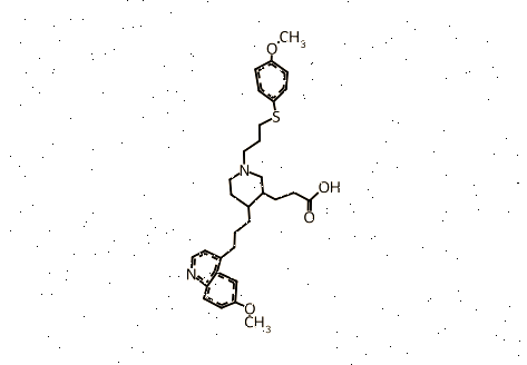 COc1ccc(SCCCN2CCC(CCCc3ccnc4ccc(OC)cc34)C(CCC(=O)O)C2)cc1